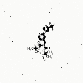 CC(C)(C)OC(=O)N(Cc1ccnc(-n2cnc(C(F)(F)F)c2)c1)C(=O)OC(C)(C)C